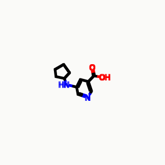 O=C(O)c1cncc(NC2CCCC2)c1